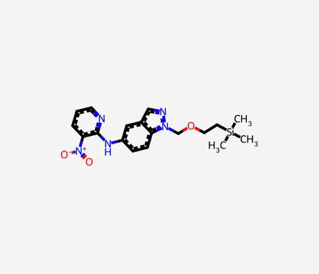 C[Si](C)(C)CCOCn1ncc2cc(Nc3ncccc3[N+](=O)[O-])ccc21